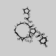 CCOC(=O)[C@@]12C[C@H]1/C=C\CCCCC[C@H](NC(=O)OC1CCCC1)C(=O)N1C[C@@H](OS(=O)(=O)c3ccc(Br)cc3)C[C@H]1C(=O)N2